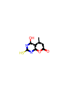 Cc1cc(=O)oc2nc(S)nc(O)c12